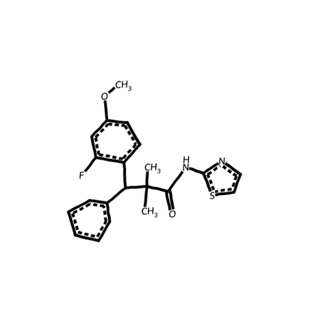 COc1ccc(C(c2ccccc2)C(C)(C)C(=O)Nc2nccs2)c(F)c1